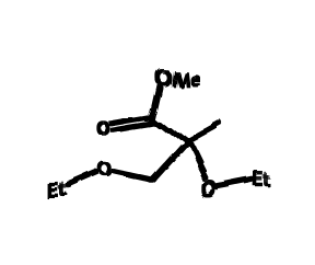 CCOCC(C)(OCC)C(=O)OC